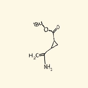 C=C(N)C1CC1C(=O)OC(C)(C)C